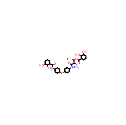 CC(OC(=O)c1cccc(O)c1O)C(N)C(=O)Nc1ccc(Oc2ccc(NC(=O)c3cccc(O)c3O)cc2)cc1